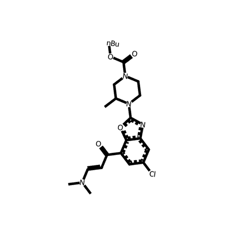 CCCCOC(=O)N1CCN(c2nc3cc(Cl)cc(C(=O)C=CN(C)C)c3o2)C(C)C1